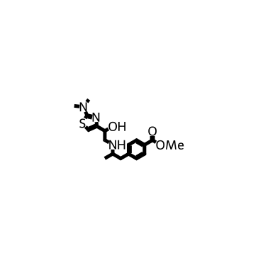 COC(=O)c1ccc(CC(C)NCC(O)c2csc(N(C)C)n2)cc1